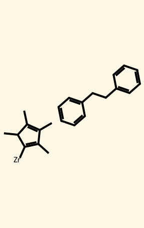 CC1=C(C)C(C)[C]([Zr])=C1C.c1ccc(CCc2ccccc2)cc1